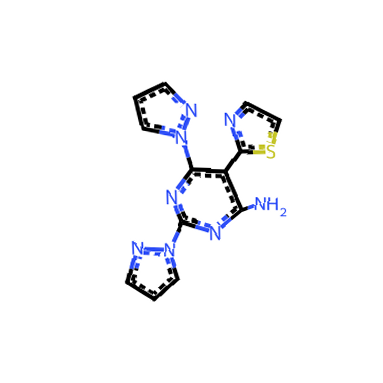 Nc1nc(-n2cccn2)nc(-n2cccn2)c1-c1nccs1